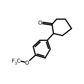 O=C1CCCCC1c1ccc(OC(F)(F)F)cc1